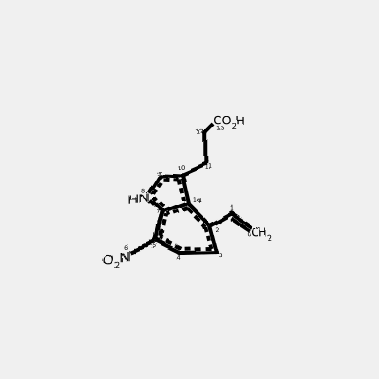 C=Cc1ccc([N+](=O)[O-])c2[nH]cc(CCC(=O)O)c12